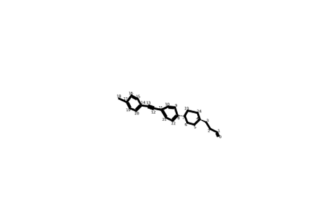 C=CCC[C@H]1CC[C@H](c2ccc(C#Cc3ccc(C)cc3)cc2)CC1